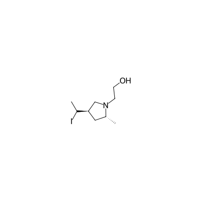 CC(I)[C@@H]1C[C@@H](C)N(CCO)C1